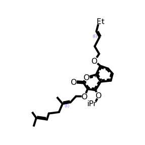 CC/C=C/CCOc1cccc2c(OC(C)C)c(OC/C=C(\C)CCC=C(C)C)c(=O)oc12